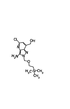 C[Si](C)(C)CCOCn1nc2c(CO)cc(Cl)nc2c1N